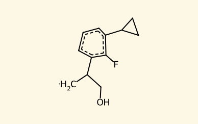 [CH2]C(CO)c1cccc(C2CC2)c1F